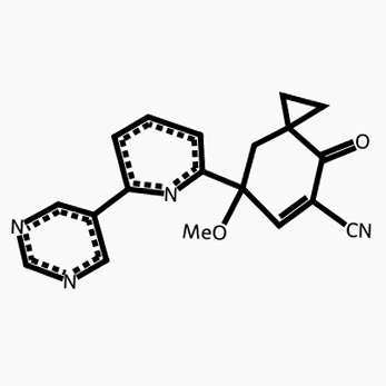 COC1(c2cccc(-c3cncnc3)n2)C=C(C#N)C(=O)C2(CC2)C1